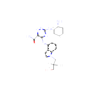 CC(C)(CO)Cn1ccc2c(Nc3nc(N[C@@H]4CCCC[C@@H]4N)nnc3C(N)=O)cccc21